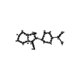 O=[N+]([O-])c1ccc(-n2[se]c3ccccc3c2=S)nc1